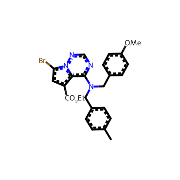 CCOC(=O)c1cc(Br)n2ncnc(N(Cc3ccc(C)cc3)Cc3ccc(OC)cc3)c12